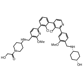 COc1cc(-c2nccc(-c3cccc(-c4ccc(CNC5CCN(C(=O)CO)CC5)c(OC)n4)c3Cl)c2Cl)ccc1CN[C@H]1CC[C@@H](O)CC1